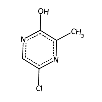 Cc1nc(Cl)cnc1O